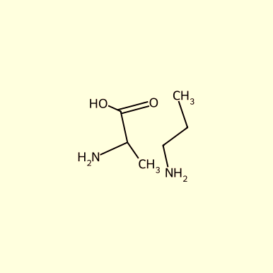 CC(N)C(=O)O.CCCN